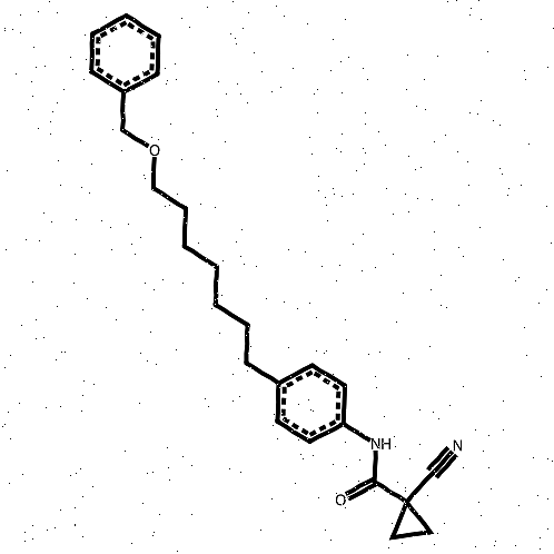 N#CC1(C(=O)Nc2ccc(CCCCCCCOCc3ccccc3)cc2)CC1